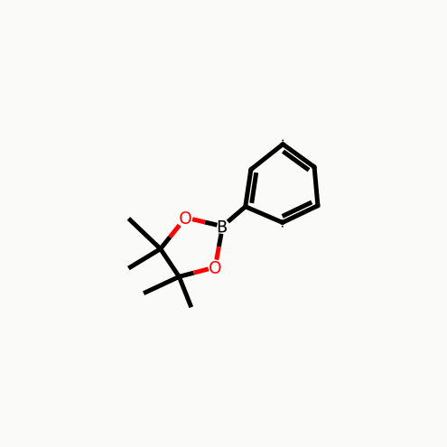 CC1(C)OB(c2[c]cc[c]c2)OC1(C)C